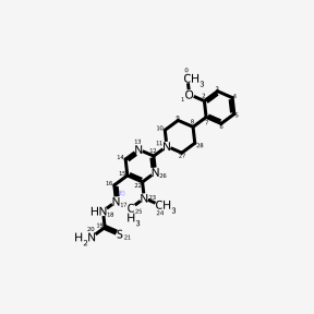 COc1ccccc1C1CCN(c2ncc(/C=N/NC(N)=S)c(N(C)C)n2)CC1